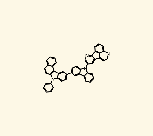 c1ccc(-n2c3ccc(-c4ccc5c(c4)c4ccccc4n5-c4cnc5c(c4)-c4ccnc6cccc-5c46)cc3c3c4ccccc4ccc32)cc1